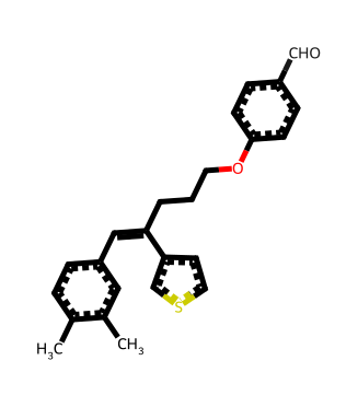 Cc1ccc(C=C(CCCOc2ccc(C=O)cc2)c2ccsc2)cc1C